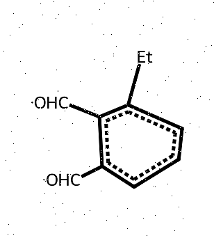 CCc1cccc([C]=O)c1[C]=O